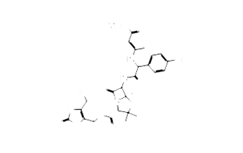 COC(=O)/C=C(\C)NC(C(=O)NC1C(=O)N2[C@@H]1SC(C)(C)[C@@H]2C(=O)OCc1oc(=O)oc1CBr)c1ccc(O)cc1